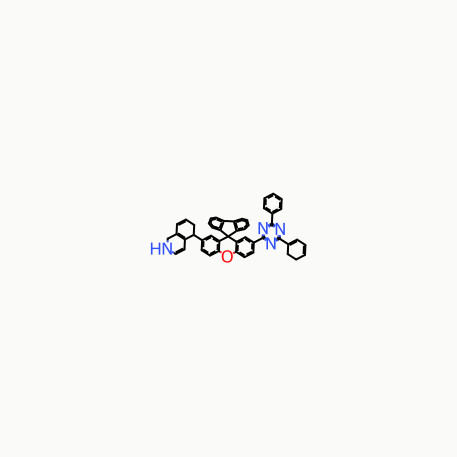 C1=CCCC(c2nc(-c3ccccc3)nc(-c3ccc4c(c3)C3(c5cc(C6CC=CC7=C6C=CNC7)ccc5O4)c4ccccc4-c4ccccc43)n2)=C1